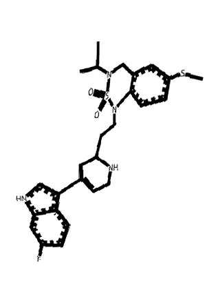 CSc1ccc2c(c1)CN(C(C)C)S(=O)(=O)N2CCC1CC(c2c[nH]c3cc(F)ccc23)=CCN1